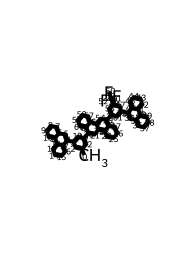 Cc1cc(-c2cc3ccccc3c3ccccc23)cc(-c2cc3c4ccccc4c(-c4cc(-c5cc6ccccc6c6ccccc56)cc(C(F)(F)F)c4)cc3c3ccccc23)c1